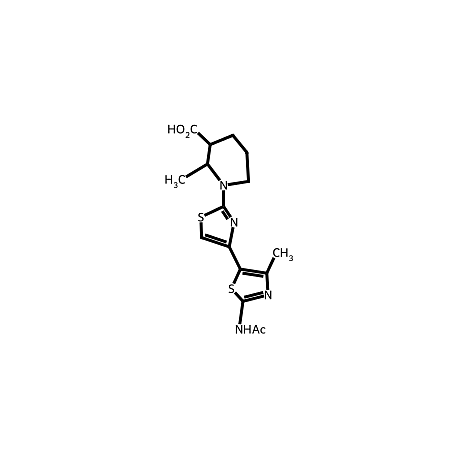 CC(=O)Nc1nc(C)c(-c2csc(N3CCCC(C(=O)O)C3C)n2)s1